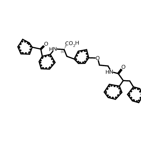 O=C(c1ccccc1)c1ccccc1N[C@@H](Cc1ccc(OCCNC(=O)C(Cc2ccccc2)c2ccccc2)cc1)C(=O)O